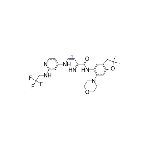 CC1(C)Cc2cc(NC(=O)C(=N)/C=C\Nc3ccnc(NCC(F)(F)F)c3)c(N3CCOCC3)cc2O1